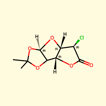 CC1(C)OC2[C@H](O[C@H]3[C@@H]2OC(=O)[C@@H]3Cl)O1